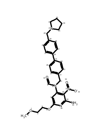 COCCOc1cc(N(C=O)Cc2ccc(-c3ccc(CN4CCCC4)cc3)cc2)c([N+](=O)[O-])c(N)n1